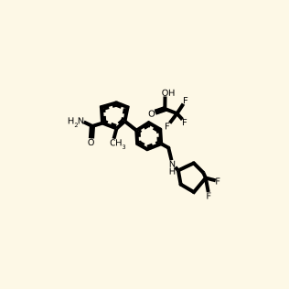 Cc1c(C(N)=O)cccc1-c1ccc(CNC2CCC(F)(F)CC2)cc1.O=C(O)C(F)(F)F